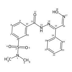 CN(C)S(=O)(=O)c1cccc(C(=O)N/N=C(/C=N\O)c2ccccc2)c1